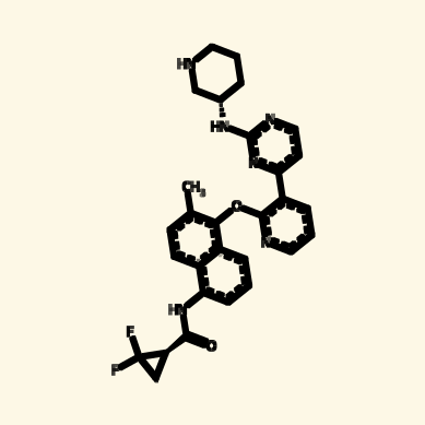 Cc1ccc2c(NC(=O)[C@H]3CC3(F)F)cccc2c1Oc1ncccc1-c1ccnc(N[C@H]2CCCNC2)n1